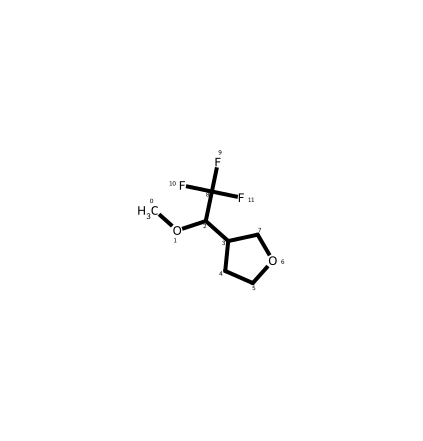 COC(C1CCOC1)C(F)(F)F